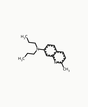 CCCN(CCC)c1ccc2ccc(C)nc2c1